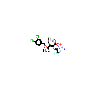 C=C(OCc1ccc(Cl)c(Cl)c1)/C(C)=C(\N=C(/N)C(F)(F)F)C(=O)O